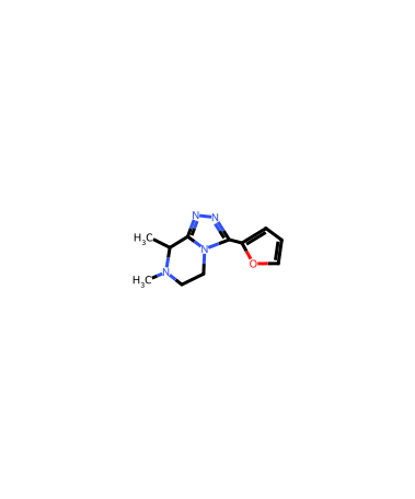 CC1c2nnc(-c3ccco3)n2CCN1C